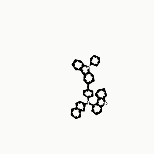 c1ccc(-n2c3ccccc3c3cc(-c4ccc(N(c5ccc6ccccc6c5)c5cccc6oc7ccccc7c56)cc4)ccc32)cc1